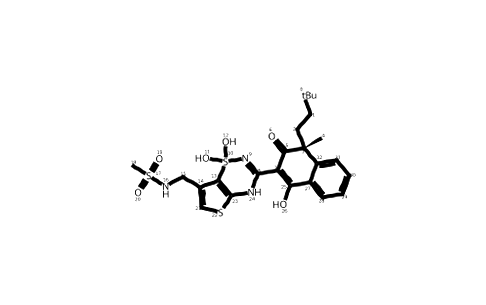 CC(C)(C)CC[C@@]1(C)C(=O)C(C2=NS(O)(O)c3c(CNS(C)(=O)=O)csc3N2)=C(O)c2ccccc21